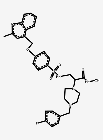 Cc1cc(COc2ccc(S(=O)(=O)NCC(C(=O)NO)N3CCN(Cc4ccc(F)cc4)CC3)cc2)c2ccccc2n1